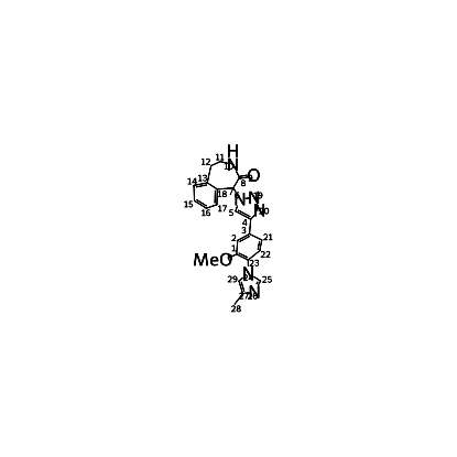 COc1cc(-c2cn(C3C(=O)NCCc4ccccc43)nn2)ccc1-n1cnc(C)c1